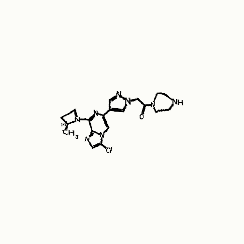 C[C@H]1CCN1c1nc(-c2cnn(CC(=O)N3CCNCC3)c2)cn2c(Cl)cnc12